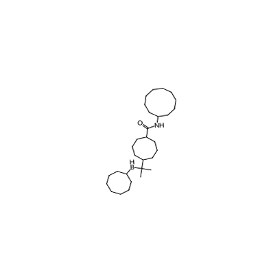 CC(C)(BC1CCCCCCC1)C1CCCC(C(=O)NC2CCCCCCCCC2)CCC1